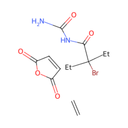 C=C.CCC(Br)(CC)C(=O)NC(N)=O.O=C1C=CC(=O)O1